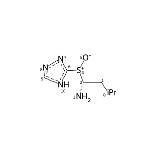 CC(C)C[C@H](N)[S+]([O-])c1nnc[nH]1